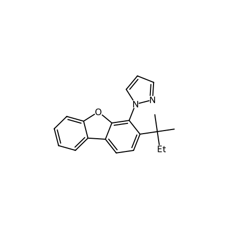 CCC(C)(C)c1ccc2c(oc3ccccc32)c1-n1cccn1